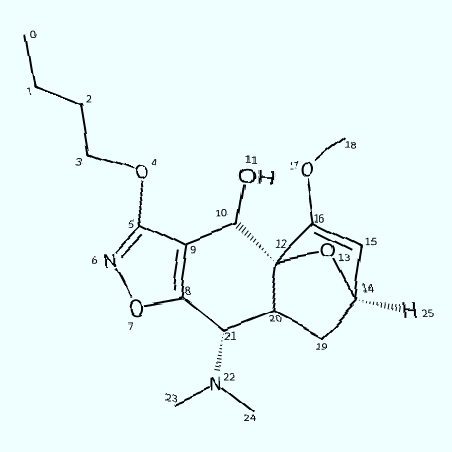 CCCCOc1noc2c1C(O)[C@@]13O[C@@H](C=C1OC)CC3[C@@H]2N(C)C